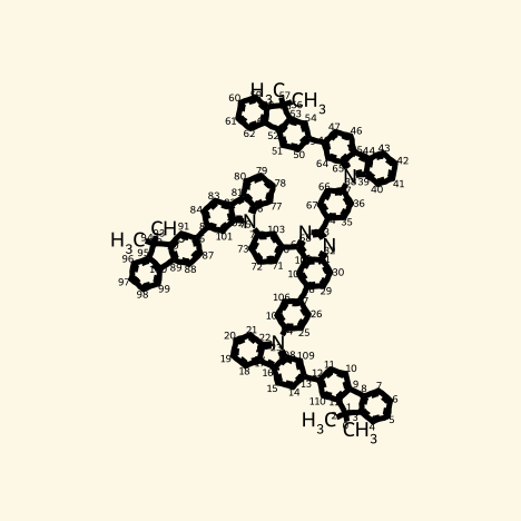 CC1(C)c2ccccc2-c2ccc(-c3ccc4c5ccccc5n(-c5ccc(-c6ccc7nc(-c8ccc(-n9c%10ccccc%10c%10ccc(-c%11ccc%12c(c%11)C(C)(C)c%11ccccc%11-%12)cc%109)cc8)nc(-c8cccc(-n9c%10ccccc%10c%10ccc(-c%11ccc%12c(c%11)C(C)(C)c%11ccccc%11-%12)cc%109)c8)c7c6)cc5)c4c3)cc21